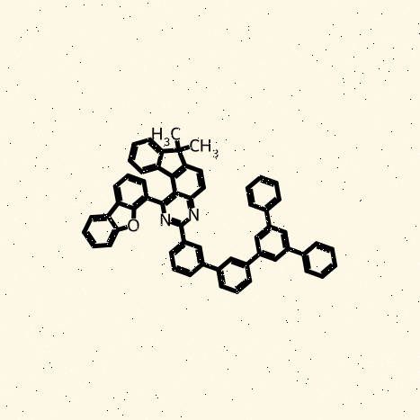 CC1(C)c2ccccc2-c2c1ccc1nc(-c3cccc(-c4cccc(-c5cc(-c6ccccc6)cc(-c6ccccc6)c5)c4)c3)nc(-c3cccc4c3oc3ccccc34)c21